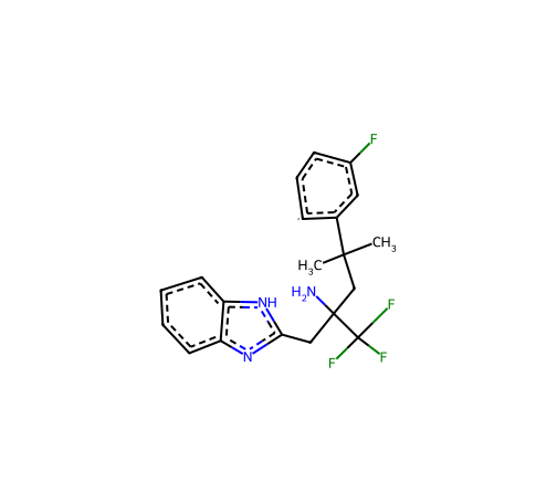 CC(C)(CC(N)(Cc1nc2ccccc2[nH]1)C(F)(F)F)c1[c]ccc(F)c1